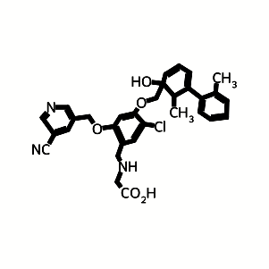 Cc1ccccc1C1=CC=CC(O)(COc2cc(OCc3cncc(C#N)c3)c(CNCC(=O)O)cc2Cl)C1C